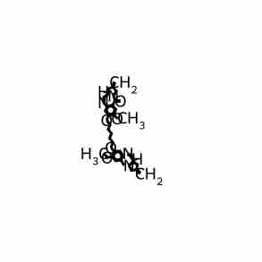 C=C1C[C@H]2C=Nc3cc(OCCCCCOc4cc5c(cc4OC)C(=O)N4CC(=C)C[C@H]4C=N5)c(OC)cc3CN2C1